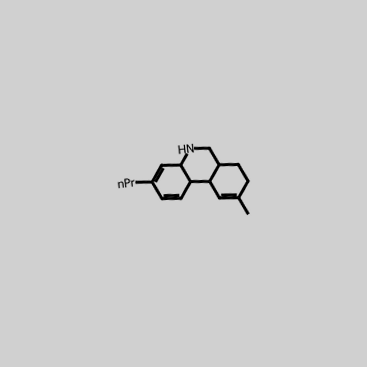 CCCC1=CC2NCC3CCC(C)=CC3C2C=C1